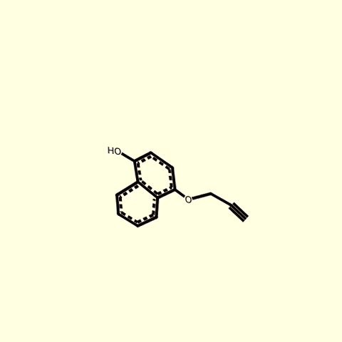 C#CCOc1ccc(O)c2ccccc12